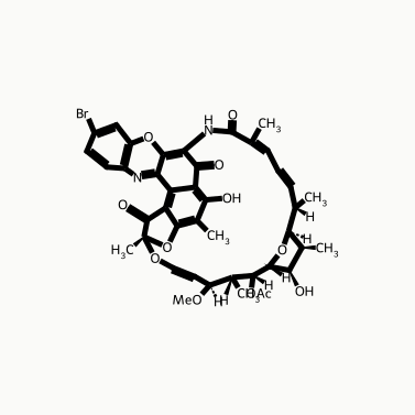 CO[C@H]1/C=C/O[C@@]2(C)Oc3c(C)c(O)c4c(=O)c(c5oc6cc(Br)ccc6nc-5c4c3C2=O)NC(=O)/C(C)=C\C=C\[C@H](C)[C@@H]2O[C@H]([C@H](O)[C@@H]2C)[C@H](OC(C)=O)[C@@H]1C